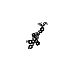 CCN(CC)c1ccc2cc(OC(=O)NC3(C(=O)NC(Cc4ccccc4)C(=O)N[C@H](CC4CCOCC4)C4CCNCC4)CCCC3)oc2c1